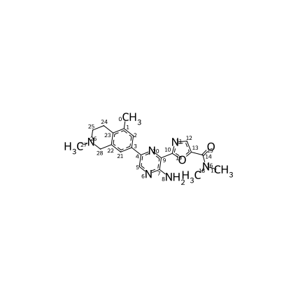 Cc1cc(-c2cnc(N)c(-c3ncc(C(=O)N(C)C)o3)n2)cc2c1CCN(C)C2